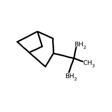 BC(B)(C)C1CC2CC(C2)C1